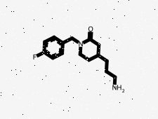 NCCCC1CCN(Cc2ccc(F)cc2)C(=O)C1